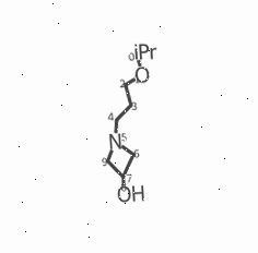 CC(C)OCCCN1CC(O)C1